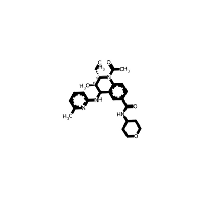 CC[C@H]1[C@H](C)C(Nc2cccc(C)n2)c2cc(C(=O)NC3CCOCC3)ccc2N1C(C)=O